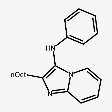 CCCCCCCCc1nc2ccccn2c1Nc1ccccc1